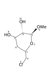 CO[C@H]1OC(CCl)CC(O)[C@@H]1O